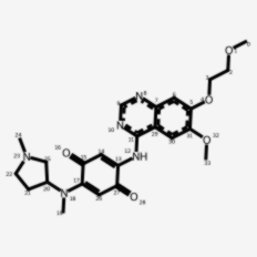 COCCOc1cc2ncnc(NC3=CC(=O)C(N(C)C4CCN(C)C4)=CC3=O)c2cc1OC